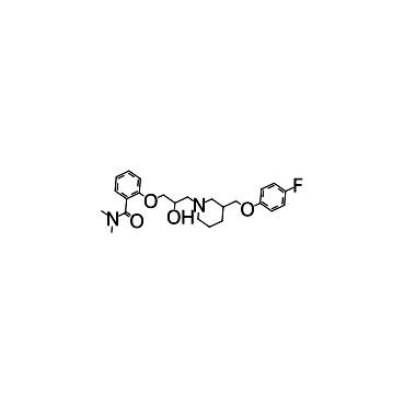 CN(C)C(=O)c1ccccc1OCC(O)CN1CCCC(COc2ccc(F)cc2)C1